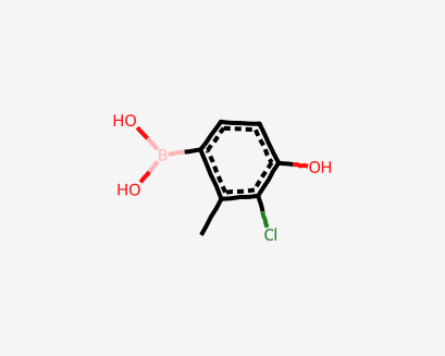 Cc1c(B(O)O)ccc(O)c1Cl